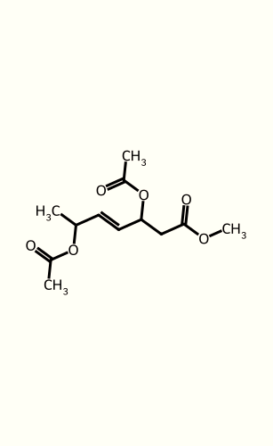 COC(=O)CC(/C=C/C(C)OC(C)=O)OC(C)=O